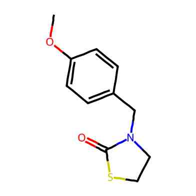 COc1ccc(CN2CCSC2=O)cc1